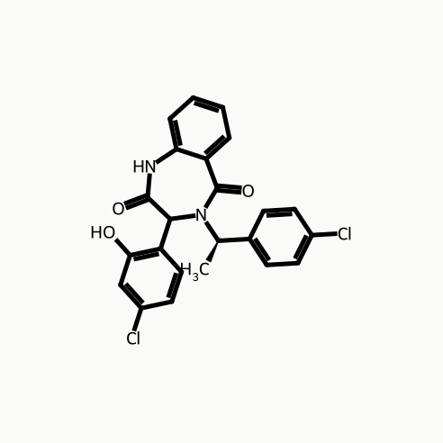 C[C@H](c1ccc(Cl)cc1)N1C(=O)c2ccccc2NC(=O)C1c1ccc(Cl)cc1O